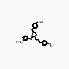 CCOC(=O)c1cccc(/N=C2\O/C(=C/c3ccc(OC)cc3)CON2CCCc2ccc(OCC)cc2)c1